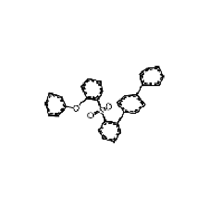 O=S(=O)(c1ccccc1Oc1ccccc1)c1ccccc1-c1ccc(-c2ccccc2)cc1